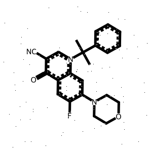 CC(C)(c1ccccc1)n1cc(C#N)c(=O)c2cc(F)c(N3CCOCC3)cc21